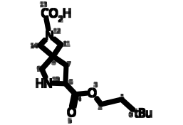 CC(C)(C)CCOC(=O)C1CC2(CN1)CN(C(=O)O)C2